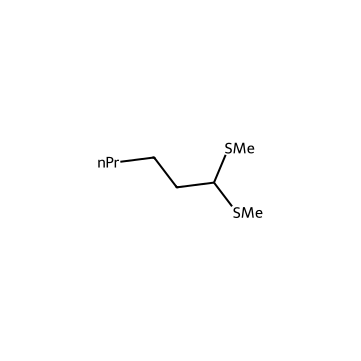 CCCCCC(SC)SC